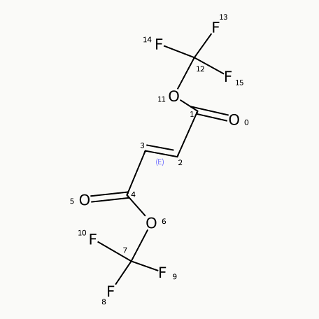 O=C(/C=C/C(=O)OC(F)(F)F)OC(F)(F)F